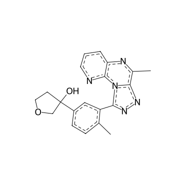 Cc1ccc(C2(O)CCOC2)cc1-c1nnc2c(C)nc3cccnc3n12